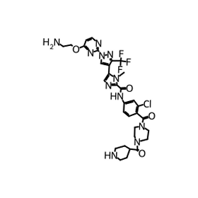 Cn1c(-c2cn(-c3nccc(OCCN)n3)nc2C(F)(F)F)cnc1C(=O)Nc1ccc(C(=O)N2CCN(C(=O)C3CCNCC3)CC2)c(Cl)c1